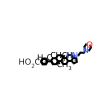 CC1(C)C(c2ccc(C(=O)O)cc2)=CCC2(C)C1CCC1(C)C3CCC4(NCCCN5CCOCC5)CCCC4C3CCC12